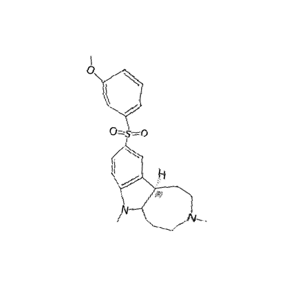 COc1cccc(S(=O)(=O)c2ccc3c(c2)[C@H]2CCN(C)CCC2N3C)c1